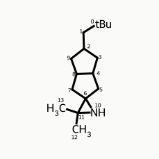 CC(C)(C)CC1CC2CC3(CC2C1)NC3(C)C